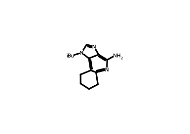 CCC(C)n1cnc2c(N)nc3c(c21)CCCC3